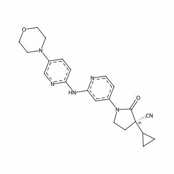 N#C[C@]1(C2CC2)CCN(c2ccnc(Nc3ccc(N4CCOCC4)cn3)c2)C1=O